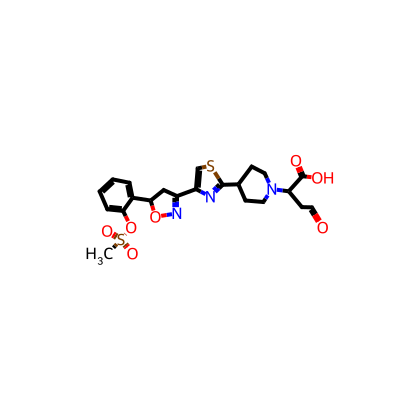 CS(=O)(=O)Oc1ccccc1C1CC(c2csc(C3CCN(C(CC=O)C(=O)O)CC3)n2)=NO1